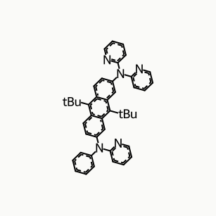 CC(C)(C)c1c2ccc(N(c3ccccc3)c3ccccn3)cc2c(C(C)(C)C)c2cc(N(c3ccccn3)c3ccccn3)ccc12